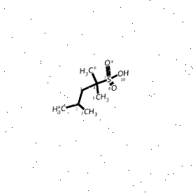 CC(C)CC(C)(C)S(=O)(=O)O